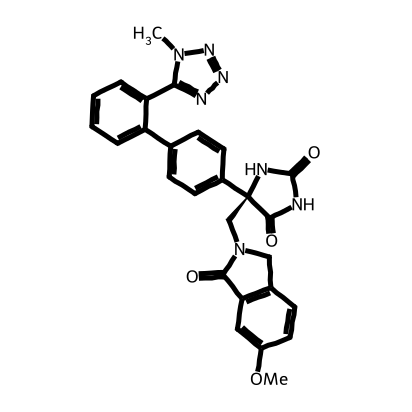 COc1ccc2c(c1)C(=O)N(C[C@@]1(c3ccc(-c4ccccc4-c4nnnn4C)cc3)NC(=O)NC1=O)C2